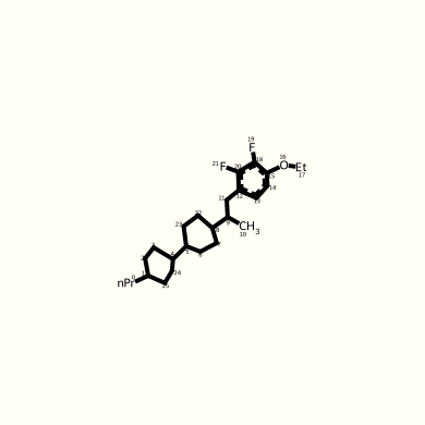 CCCC1CCC(C2CCC(C(C)Cc3ccc(OCC)c(F)c3F)CC2)CC1